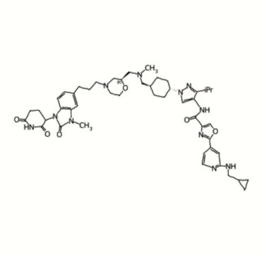 CC(C)c1nn([C@H]2CC[C@H](CN(C)C[C@@H]3CN(CCCc4ccc5c(c4)n(C)c(=O)n5C4CCC(=O)NC4=O)CCO3)CC2)cc1NC(=O)c1coc(-c2ccnc(NCC3CC3)c2)n1